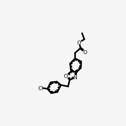 CCOC(=O)Cc1ccc2nc(Cc3ccc(Cl)cc3)oc2c1